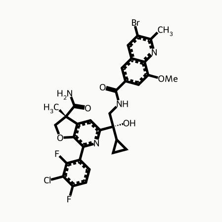 COc1cc(C(=O)NC[C@](O)(c2cc3c(c(-c4ccc(F)c(Cl)c4F)n2)OC[C@]3(C)C(N)=O)C2CC2)cc2cc(Br)c(C)nc12